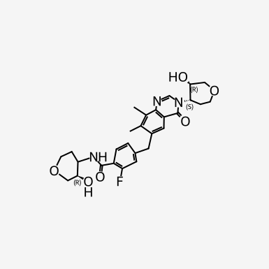 Cc1c(Cc2ccc(C(=O)NC3CCOC[C@@H]3O)c(F)c2)cc2c(=O)n([C@H]3CCOC[C@@H]3O)cnc2c1C